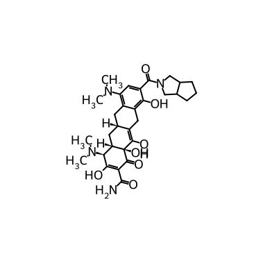 CN(C)c1cc(C(=O)N2CC3CCCC3C2)c(O)c2c1C[C@H]1C[C@H]3[C@H](N(C)C)C(O)=C(C(N)=O)C(=O)[C@@]3(O)C(O)=C1C2